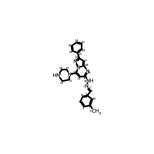 Cc1cccc(/C=N/Nc2cc(N3CCNCC3)n3nc(-c4ccccc4)cc3n2)c1